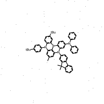 Cc1cc2c3c(c1)N(c1ccc4c(c1)C(C)(C)c1ccccc1-4)c1cc(N(c4ccccc4)c4ccccc4)ccc1B3c1cc(C(C)(C)C)ccc1N2c1ccc(C(C)(C)C)cc1